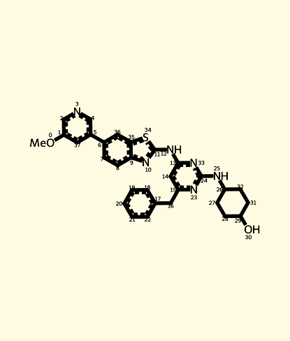 COc1cncc(-c2ccc3nc(Nc4cc(Cc5ccccc5)nc(NC5CCC(O)CC5)n4)sc3c2)c1